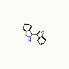 c1ccc2c(c1)CNC2c1coc2ccccc12